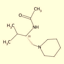 CC(=O)N[C@H](CN1CCCCC1)C(C)C